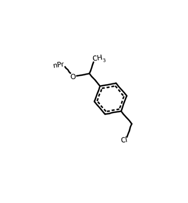 CCCOC(C)c1ccc(CCl)cc1